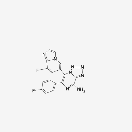 Nc1nc(-c2ccc(F)cc2)c(-c2cc(F)c3nccn3c2)n2nnnc12